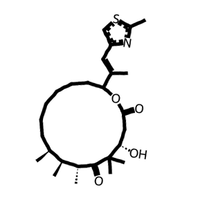 C/C(=C\c1csc(C)n1)C1CCCCCC[C@H](C)[C@H](C)[C@@H](C)C(=O)C(C)(C)[C@@H](O)CC(=O)O1